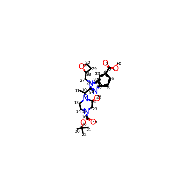 COC(=O)c1ccc2nc(C(C)N3CCN(C(=O)OC(C)(C)C)CC3=O)n(C[C@@H]3CCO3)c2c1